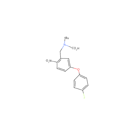 CC(C)(C)N(Cc1cc(Oc2ccc(F)cc2)ccc1[N+](=O)[O-])C(=O)O